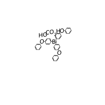 O=C(O)O.c1ccc(Oc2cc[c]([Bi]([c]3ccc(Oc4ccccc4)cc3)[c]3ccc(Oc4ccccc4)cc3)cc2)cc1